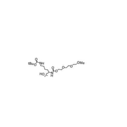 COCCOCCOCCOC(=O)NC(CCCCNC(=O)OC(C)(C)C)C(=O)O